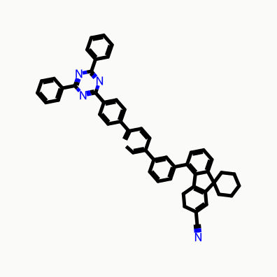 C=C(/C=C\C(=C/C)c1cccc(-c2cccc3c2C2=C(C=C(C#N)CC2)C32CCCCC2)c1)c1ccc(-c2nc(-c3ccccc3)nc(-c3ccccc3)n2)cc1